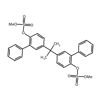 COS(=O)(=O)Oc1ccc(C(C)(C)c2ccc(OS(=O)(=O)OC)c(-c3ccccc3)c2)cc1-c1ccccc1